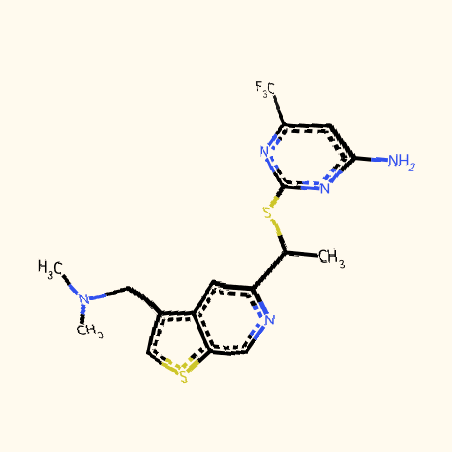 CC(Sc1nc(N)cc(C(F)(F)F)n1)c1cc2c(CN(C)C)csc2cn1